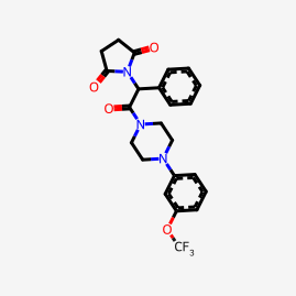 O=C(C(c1ccccc1)N1C(=O)CCC1=O)N1CCN(c2cccc(OC(F)(F)F)c2)CC1